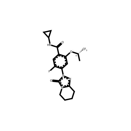 C[C@H](Oc1cc(-n2nc3n(c2=O)CCCC3)c(F)cc1C(=O)NC1CC1)C(F)(F)F